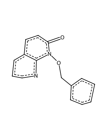 O=c1ccc2cccnc2n1OCc1ccccc1